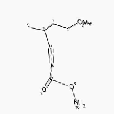 COCCC(C)C#CC(=O)ON